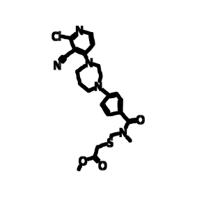 COC(=O)CSCN(C)C(=O)c1ccc(N2CCCN(c3ccnc(Cl)c3C#N)CC2)cc1